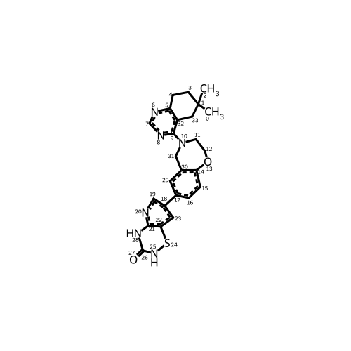 CC1(C)CCc2ncnc(N3CCOc4ccc(-c5cnc6c(c5)SNC(=O)N6)cc4C3)c2C1